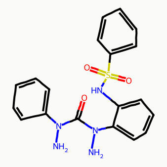 NN(C(=O)N(N)c1ccccc1NS(=O)(=O)c1ccccc1)c1ccccc1